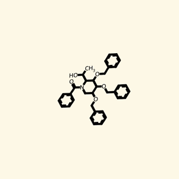 CC(O)C1C(OCc2ccccc2)C(OCc2ccccc2)C(OCc2ccccc2)CN1C(=O)c1ccccc1